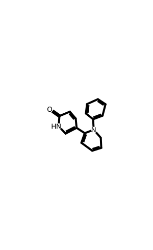 O=c1ccc(C2=CC=CCN2c2ccccc2)c[nH]1